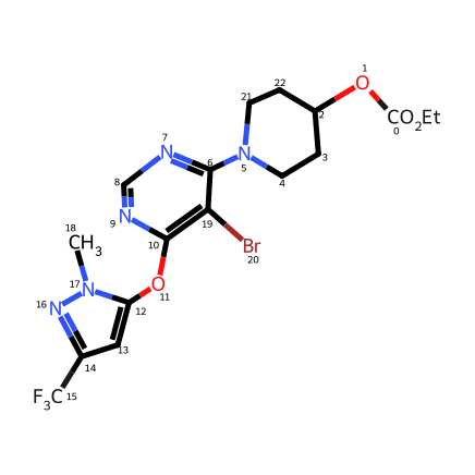 CCOC(=O)OC1CCN(c2ncnc(Oc3cc(C(F)(F)F)nn3C)c2Br)CC1